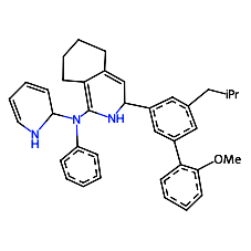 COc1ccccc1-c1cc(CC(C)C)cc(C2C=C3CCCCC3=C(N(c3ccccc3)C3C=CC=CN3)N2)c1